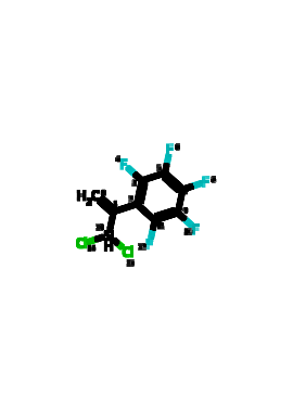 C=C(c1c(F)c(F)c(F)c(F)c1F)[SiH](Cl)Cl